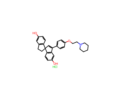 Cl.Oc1ccc2c(c1)CCC21C=C(c2ccc(OCCN3CCCCC3)cc2)c2cc(O)ccc21